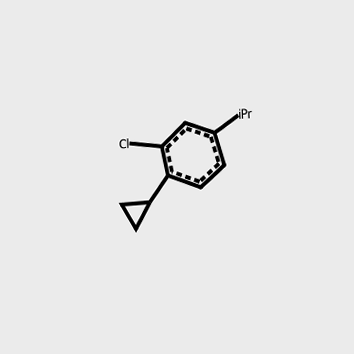 CC(C)c1ccc(C2CC2)c(Cl)c1